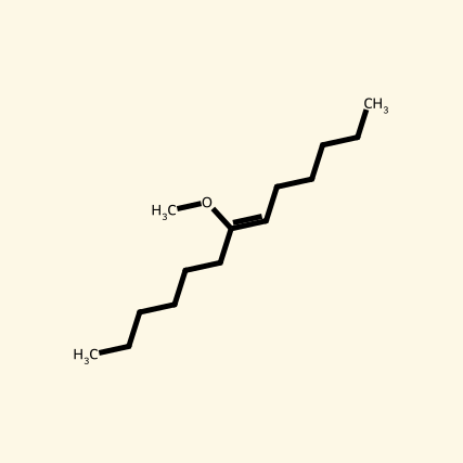 CCCCCC=C(CCCCCC)OC